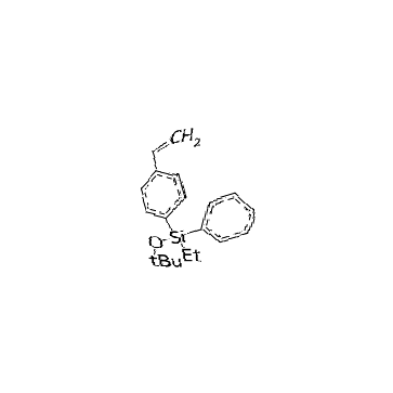 C=Cc1ccc([Si](CC)(OC(C)(C)C)c2ccccc2)cc1